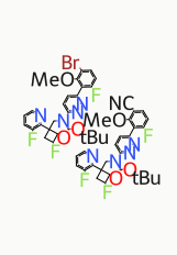 COc1c(Br)ccc(F)c1-c1ccc(N(CC2(c3ncccc3F)CC(F)C2)C(=O)OC(C)(C)C)nn1.COc1c(C#N)ccc(F)c1-c1ccc(N(CC2(c3ncccc3F)CC(F)C2)C(=O)OC(C)(C)C)nn1